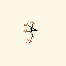 OCC1(Br)CC1(Br)Br